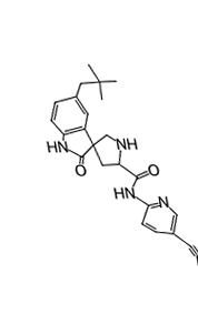 CC(C)(C)Cc1ccc2c(c1)C1(CNC(C(=O)Nc3ccc(C#N)cn3)C1)C(=O)N2